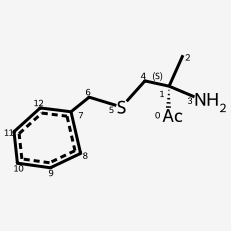 CC(=O)[C@](C)(N)CSCc1ccccc1